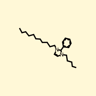 CCCCCCCCCCCN1C=CN(CCCCC)C1c1ccccc1